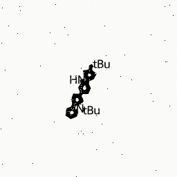 CC(C)(C)Cc1ccc2c(c1)[nH]c1cc(-c3ccc4c5ccccc5n(C(C)(C)C)c4c3)ccc12